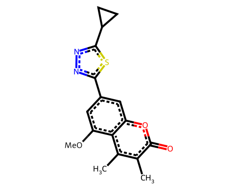 COc1cc(-c2nnc(C3CC3)s2)cc2oc(=O)c(C)c(C)c12